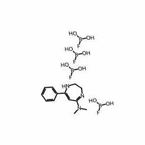 CN(C)C1=NCCNC(c2ccccc2)=C1.OB(O)F.OB(O)F.OB(O)F.OB(O)F